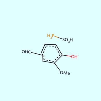 COc1cc(C=O)ccc1O.O=S(=O)(O)P